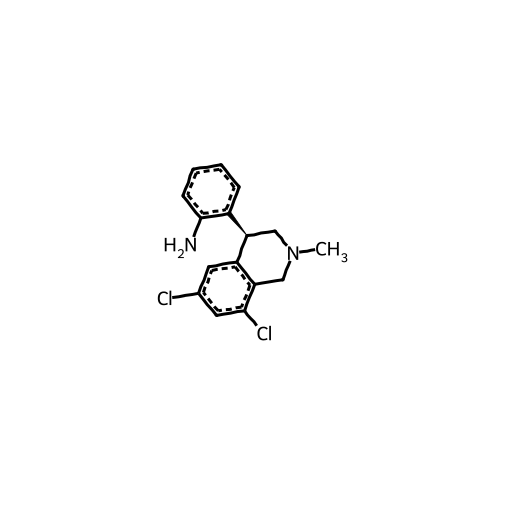 CN1Cc2c(Cl)cc(Cl)cc2[C@@H](c2ccccc2N)C1